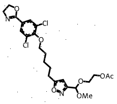 COC(OCCOC(C)=O)c1cc(CCCCCOc2c(Cl)cc(C3=NCCO3)cc2Cl)on1